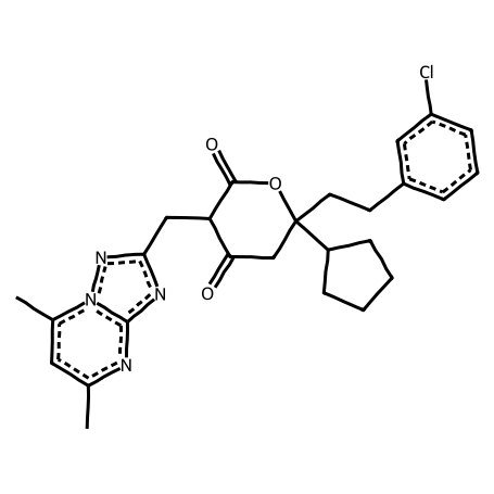 Cc1cc(C)n2nc(CC3C(=O)CC(CCc4cccc(Cl)c4)(C4CCCC4)OC3=O)nc2n1